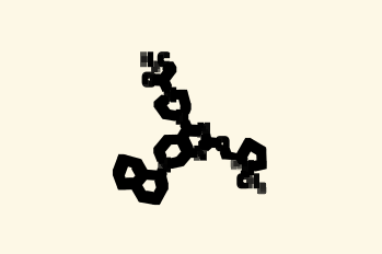 C=CC(=O)N1CCN(c2nc(OC[C@H]3CCCN3C)nc3c2CCN(c2cccc4ccccc24)C3)CC1